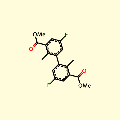 COC(=O)c1cc(F)cc(-c2cc(F)cc(C(=O)OC)c2C)c1C